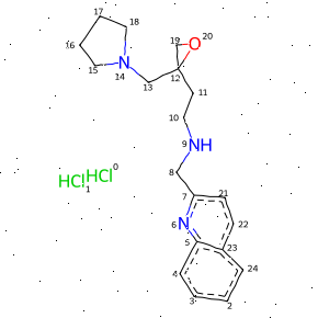 Cl.Cl.c1ccc2nc(CNCCC3(CN4CCCC4)CO3)ccc2c1